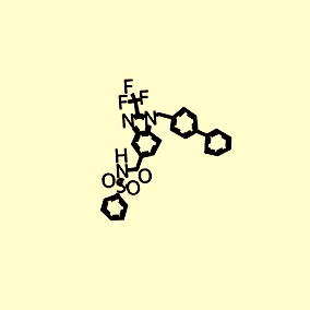 O=C(NS(=O)(=O)c1ccccc1)c1ccc2c(c1)nc(C(F)(F)F)n2Cc1ccc(-c2ccccc2)cc1